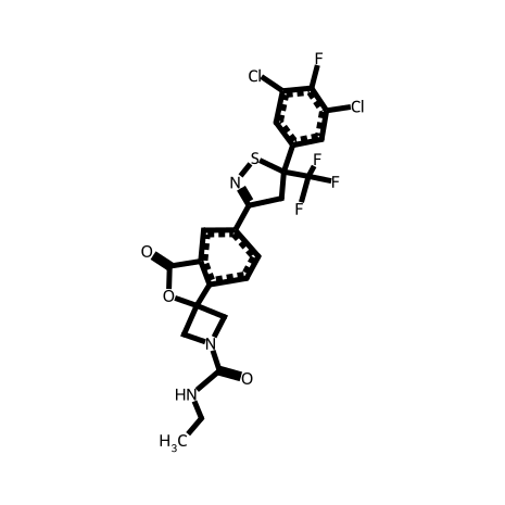 CCNC(=O)N1CC2(C1)OC(=O)c1cc(C3=NSC(c4cc(Cl)c(F)c(Cl)c4)(C(F)(F)F)C3)ccc12